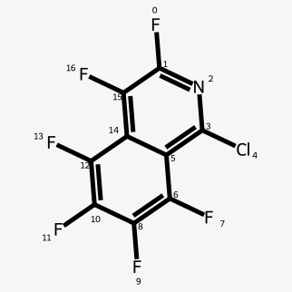 Fc1nc(Cl)c2c(F)c(F)c(F)c(F)c2c1F